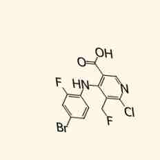 O=C(O)c1cnc(Cl)c(CF)c1Nc1ccc(Br)cc1F